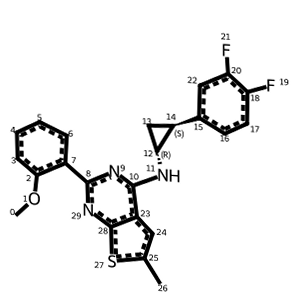 COc1ccccc1-c1nc(N[C@@H]2C[C@H]2c2ccc(F)c(F)c2)c2cc(C)sc2n1